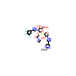 COc1ncc(-c2cn([C@H]3COC[C@@H](S[C@@H]4O[C@H](CO)[C@H](O)[C@H](n5cc(-c6cc(F)c(F)c(F)c6)nn5)[C@H]4OCC(=O)N4CCC4)[C@@H]3O)nn2)cn1